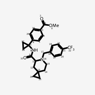 COC(=O)c1ccc(C2(NC(=O)C3CC4(CCN3Cc3ccc(C(F)(F)F)cc3)CC4)CC2)cc1